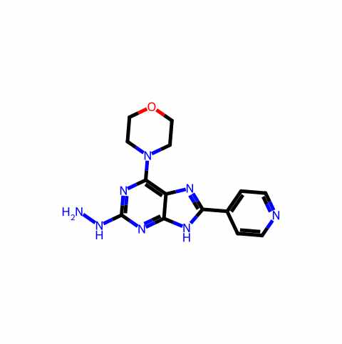 NNc1nc(N2CCOCC2)c2nc(-c3ccncc3)[nH]c2n1